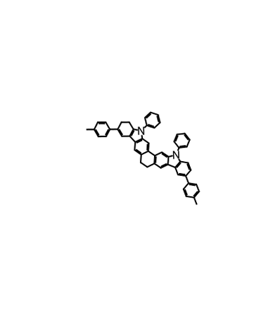 Cc1ccc(C2=Cc3c(n(-c4ccccc4)c4cc5c(cc34)CCc3cc4c6cc(-c7ccc(C)cc7)ccc6n(-c6ccccc6)c4cc3-5)CC2)cc1